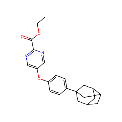 CCOC(=O)c1ncc(Oc2ccc(C34CC5CC(C3)C(C5)C4)cc2)cn1